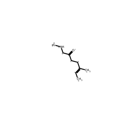 CC=C(C)CCC(=O)CNC(C)C